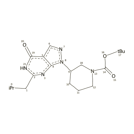 CC(C)Cc1nc2c(cnn2C2CCCN(C(=O)OC(C)(C)C)C2)c(=O)[nH]1